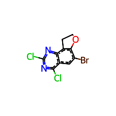 Clc1nc(Cl)c2cc(Br)c3c(c2n1)CCO3